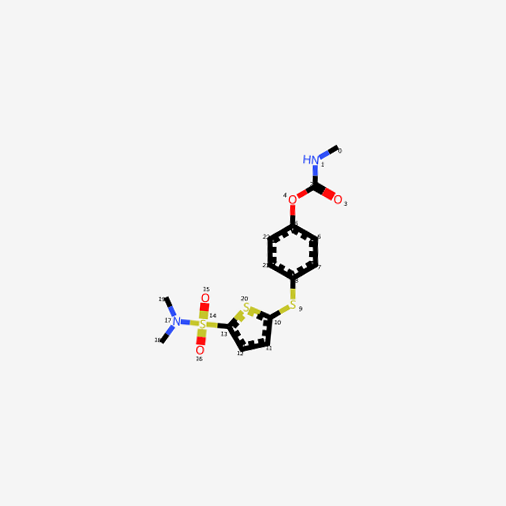 CNC(=O)Oc1ccc(Sc2ccc(S(=O)(=O)N(C)C)s2)cc1